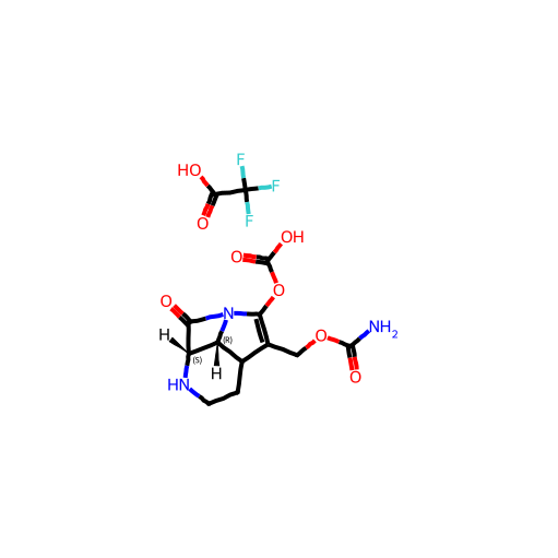 NC(=O)OCC1=C(OC(=O)O)N2C(=O)[C@H]3NCCC1[C@H]32.O=C(O)C(F)(F)F